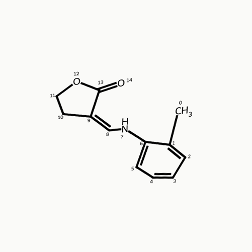 Cc1ccccc1NC=C1CCOC1=O